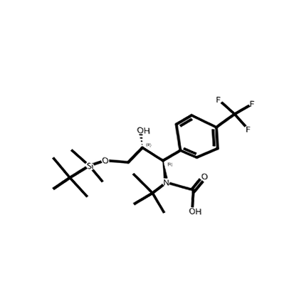 CC(C)(C)N(C(=O)O)[C@H](c1ccc(C(F)(F)F)cc1)[C@@H](O)CO[Si](C)(C)C(C)(C)C